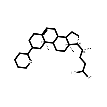 CC(C)C(O)CC[C@@H](C)[C@H]1CCC2C3CC=C4CCC(C5CCCCO5)C[C@]4(C)C3CC[C@@]21C